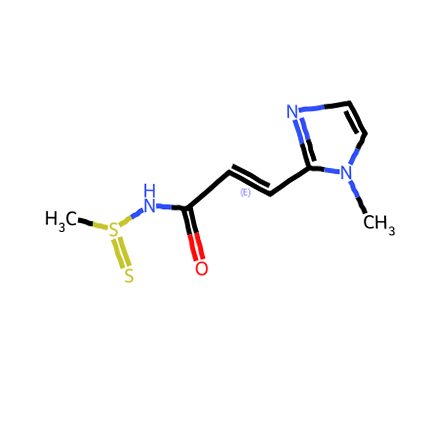 Cn1ccnc1/C=C/C(=O)NS(C)=S